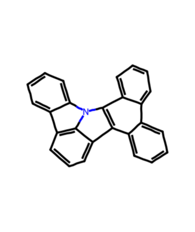 c1ccc2c(c1)c1ccccc1c1c2c2cccc3c4ccccc4n1c32